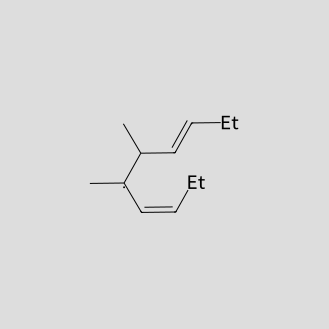 CC/C=C\[C](C)C(C)/C=C/CC